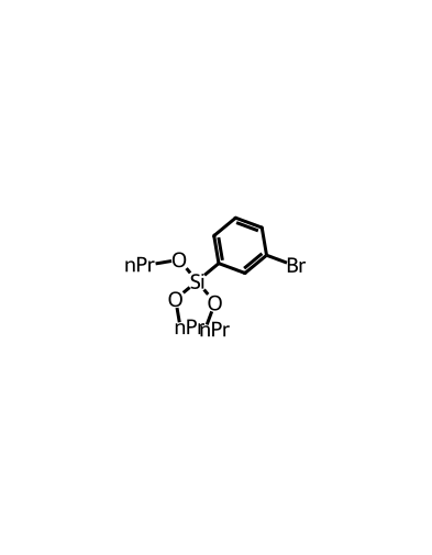 CCCO[Si](OCCC)(OCCC)c1cccc(Br)c1